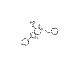 Cl.O=C1N[C@H](CCc2ccccc2)Cc2[nH]c(-c3ccncc3)cc21